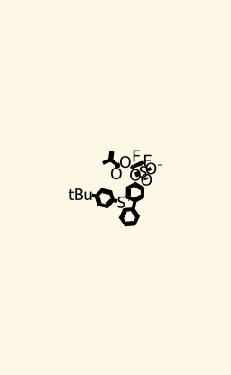 C=C(C)C(=O)OCC(F)(F)S(=O)(=O)[O-].CC(C)(C)c1ccc(-[s+]2c3ccccc3c3ccccc32)cc1